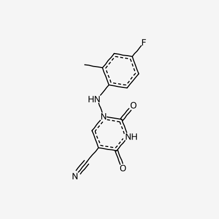 Cc1cc(F)ccc1Nn1cc(C#N)c(=O)[nH]c1=O